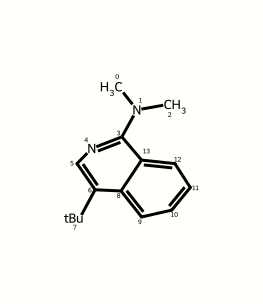 CN(C)c1ncc(C(C)(C)C)c2ccccc12